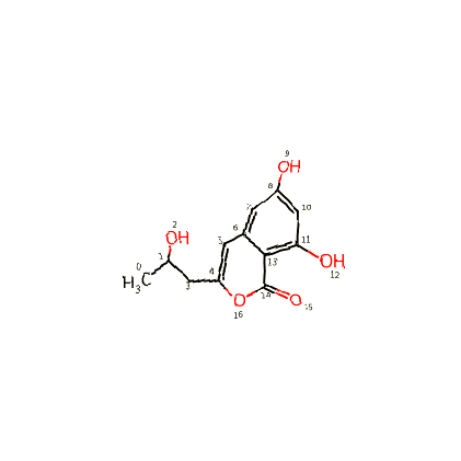 CC(O)Cc1cc2cc(O)cc(O)c2c(=O)o1